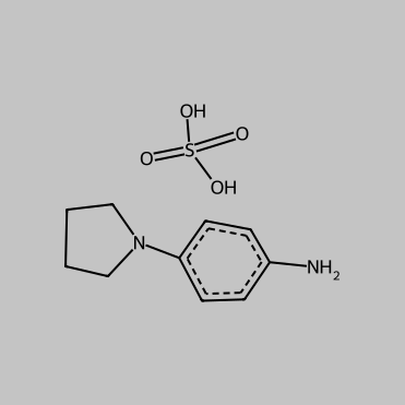 Nc1ccc(N2CCCC2)cc1.O=S(=O)(O)O